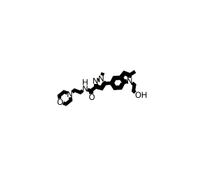 Cc1cc2cc(-c3cc(C(=O)NCCN4CCOCC4)nn3C)ccc2n1CCO